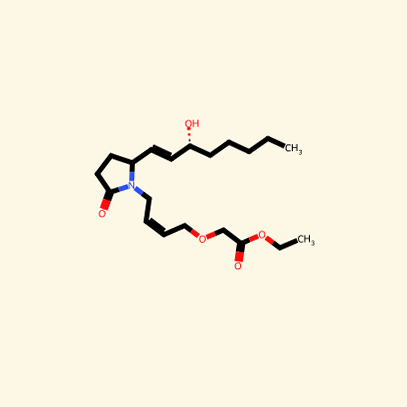 CCCCC[C@@H](O)C=CC1CCC(=O)N1C/C=C\COCC(=O)OCC